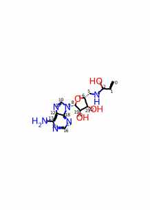 C=CC(O)NC[C@H]1O[C@@H](n2cnc3c(N)ncnc32)[C@H](O)[C@@H]1O